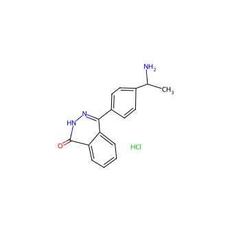 CC(N)c1ccc(-c2n[nH]c(=O)c3ccccc23)cc1.Cl